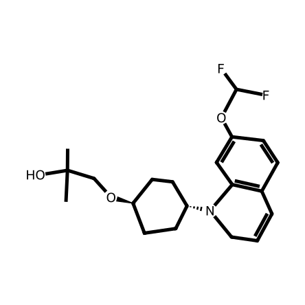 CC(C)(O)CO[C@H]1CC[C@H](N2CC=Cc3ccc(OC(F)F)cc32)CC1